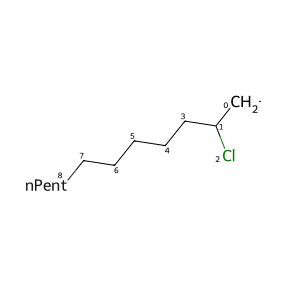 [CH2]C(Cl)CCCCCCCCCC